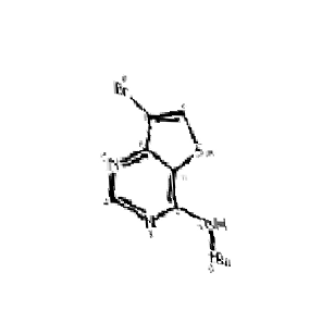 CC(C)(C)Nc1ncnc2c(Br)csc12